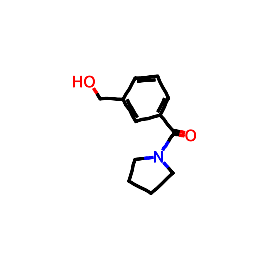 O=C(c1cccc(CO)c1)N1CCCC1